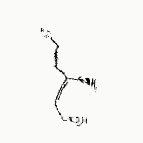 NC(=CC(=O)O)CCC(F)(F)F